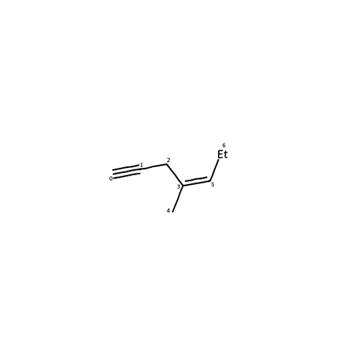 C#CCC(C)=CC[CH2]